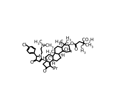 CC(C)C1=C2[C@H]3CC[C@@H]4[C@@]5(C)CC[C@H](OC(=O)CC(C)(C)C(=O)O)C(C)(C)[C@@H]5CC[C@@]4(C)[C@]3(C)CC[C@@]2(C2=CC(=O)C(c3ccc(Cl)cc3)N2CCN(C)C)CC1=O